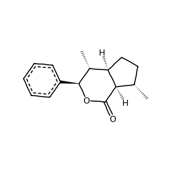 C[C@@H]1[C@H]2CC[C@H](C)[C@H]2C(=O)O[C@H]1c1ccccc1